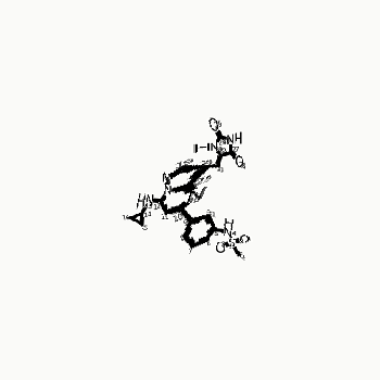 CS(=O)(=O)Nc1cccc(-c2cc(NC3CC3)n3ncc(C=C4NC(=O)NC4=O)c3n2)c1